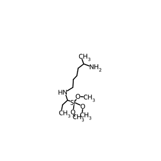 CCC(NCCCCC(C)N)[Si](OC)(OC)OC